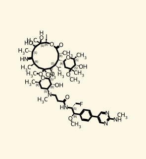 CNc1ncc(-c2ccc([C@@H](OC)[C@@H](CF)NC(=O)CCN(C)[C@H]3C[C@@H](C)O[C@@H](O[C@@H]4[C@@H](C)C([C@H]5C[C@@](C)(OC)[C@@H](O)[C@H](C)O5)[C@@H](C)C(=O)O[C@H](I)[C@@](C)(O)[C@H](O)[C@@H](C)C(=N)[C@H](C)C[C@@]4(C)OC)[C@@H]3O)cc2)cn1